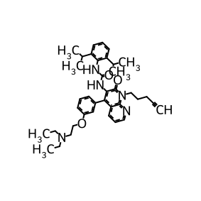 C#CCCCn1c(=O)c(NC(=O)Nc2c(C(C)C)cccc2C(C)C)c(-c2cccc(OCCN(CC)CC)c2)c2cccnc21